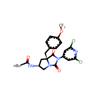 CCCCC(=O)N[C@@H]1CN2C(=O)N(c3cc(Cl)nc(Cl)c3)C(=O)[C@@]2(Cc2ccc(OC(F)(F)F)cc2)C1